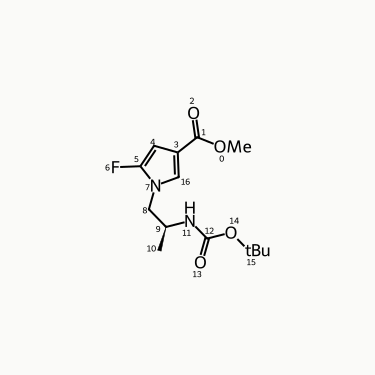 COC(=O)c1cc(F)n(C[C@H](C)NC(=O)OC(C)(C)C)c1